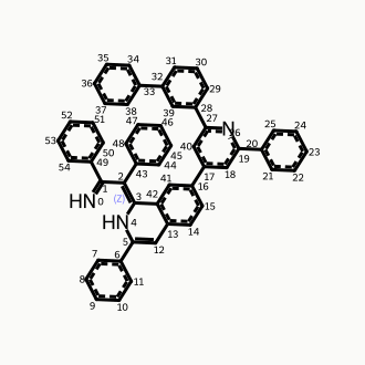 N=C(/C(=C1\NC(c2ccccc2)=Cc2ccc(-c3cc(-c4ccccc4)nc(-c4cccc(-c5ccccc5)c4)c3)cc21)c1ccccc1)c1ccccc1